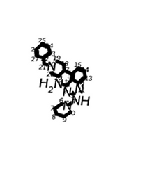 Nc1nc(NN2CCCCC2)nc2cccc(C3CCN(Cc4ccccc4)CC3)c12